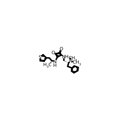 C[C@H](Cc1ccsc1)Nc1c(NC[C@@H](Cc2ccccc2)N(C)C)c(=O)c1=O